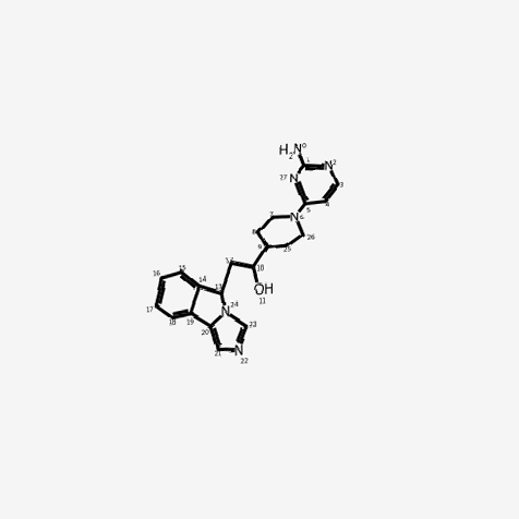 Nc1nccc(N2CCC(C(O)CC3c4ccccc4-c4cncn43)CC2)n1